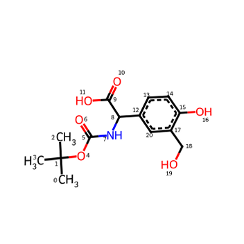 CC(C)(C)OC(=O)NC(C(=O)O)c1ccc(O)c(CO)c1